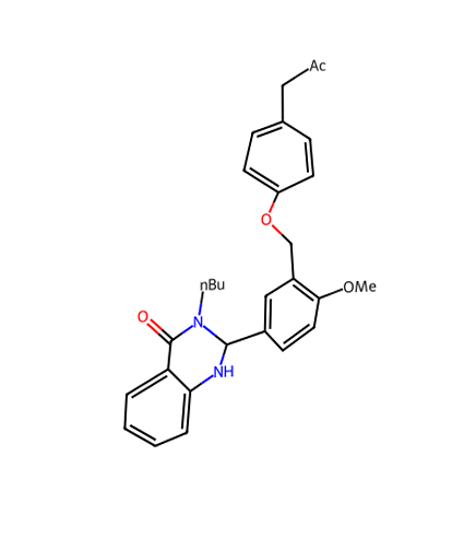 CCCCN1C(=O)c2ccccc2NC1c1ccc(OC)c(COc2ccc(CC(C)=O)cc2)c1